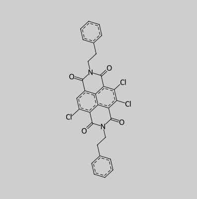 O=C1c2cc(Cl)c3c4c(c(Cl)c(Cl)c(c24)C(=O)N1CCc1ccccc1)C(=O)N(CCc1ccccc1)C3=O